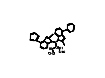 CC1=Cc2c(-c3ccccc3)cccc2[CH]1[Zr]([CH]1C(C)=Cc2c(-c3ccccc3)cccc21)[Ga]([NH]C=O)[NH]C=O